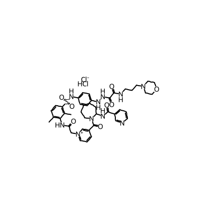 Cc1ccc(S(=O)(=O)Nc2ccc(NNC(=O)C(=O)NCCCN3CCOCC3)cc2)c(C)c1NC(=O)C[n+]1cccc(C(=O)N2CCCCCC2NC(=O)c2cccnc2)c1.Cl.[Cl-]